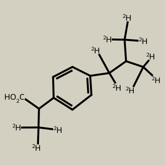 [2H]C([2H])([2H])C(C(=O)O)c1ccc(C([2H])([2H])C(C([2H])([2H])[2H])C([2H])([2H])[2H])cc1